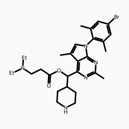 CCN(CC)CCC(=O)OC(c1nc(C)nc2c1c(C)cn2-c1c(C)cc(Br)cc1C)C1CCNCC1